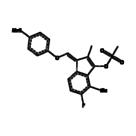 CSc1ccc(O/C=C2/C(C)=C(OS(C)(=O)=O)c3c2ccc(F)c3C(C)(C)C)cc1